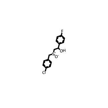 [O-][S+](Cc1ccc(Cl)cc1)CC(O)c1ccc(F)cc1